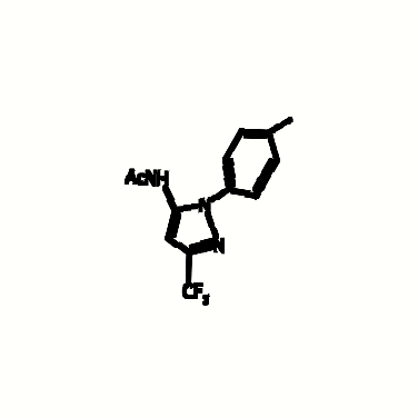 CC(=O)Nc1cc(C(F)(F)F)nn1-c1ccc(C)cc1